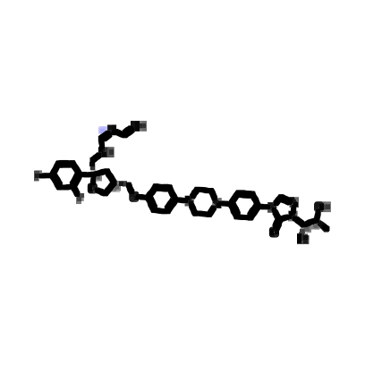 CC[C@@H]([C@H](C)O)n1ncn(-c2ccc(N3CCN(c4ccc(OC[C@@H]5CO[C@@](CN/C=N\C=N)(c6ccc(F)cc6F)C5)cc4)CC3)cc2)c1=O